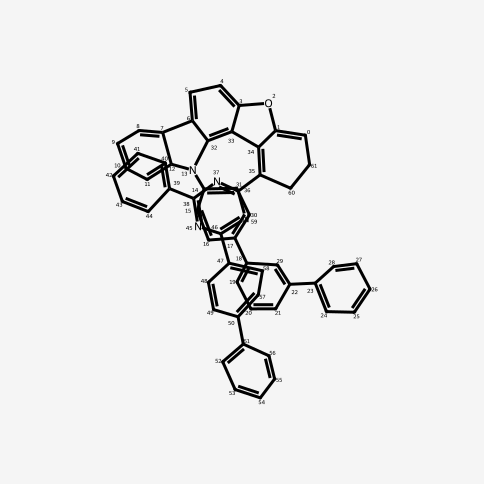 C1=c2oc3ccc4c5ccccc5n(-c5ccc(-c6cccc(-c7ccccc7)c6)cc5)c4c3c2=C(c2nc(-c3ccccc3)nc(-c3ccc(-c4ccccc4)cc3)n2)CC1